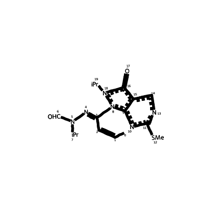 C/C=C\C(=N/N(C=O)C(C)C)n1c2nc(SC)ncc2c(=O)n1C(C)C